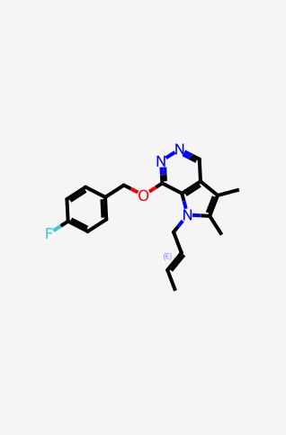 C/C=C/Cn1c(C)c(C)c2cnnc(OCc3ccc(F)cc3)c21